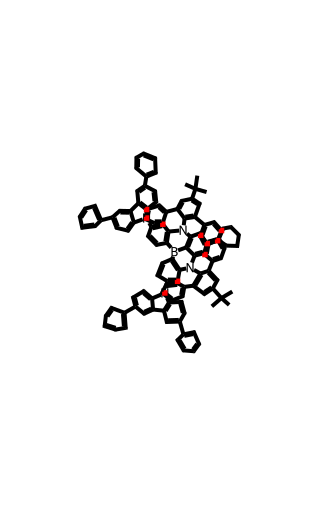 CC(C)(C)c1cc(-c2ccccc2)c(N2c3cc(-n4c5ccc(-c6ccccc6)cc5c5cc(-c6ccccc6)ccc54)ccc3B3c4ccc(-n5c6ccc(-c7ccccc7)cc6c6cc(-c7ccccc7)ccc65)cc4N(c4c(-c5ccccc5)cc(C(C)(C)C)cc4-c4ccccc4)c4cc(C5CCCCC5)cc2c43)c(-c2ccccc2)c1